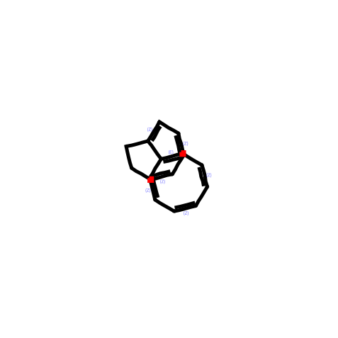 [C]1=C(/C2=C\C=C/C=C\CC2)\C=C/C=C\C=C/1